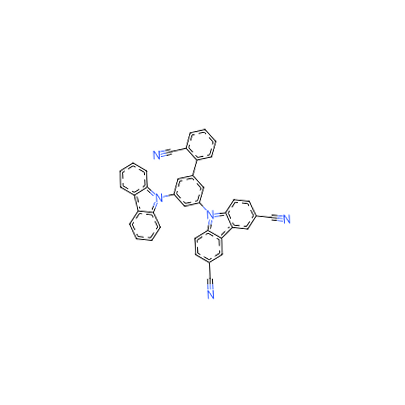 N#Cc1ccc2c(c1)c1cc(C#N)ccc1n2-c1cc(-c2ccccc2C#N)cc(-n2c3ccccc3c3ccccc32)c1